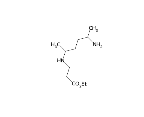 CCOC(=O)CCNC(C)CCC(C)N